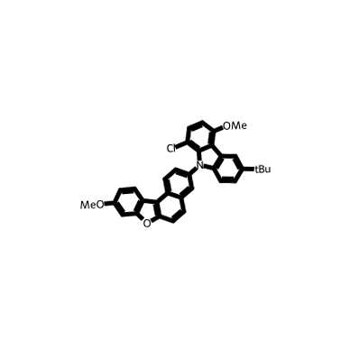 COc1ccc2c(c1)oc1ccc3cc(-n4c5ccc(C(C)(C)C)cc5c5c(OC)ccc(Cl)c54)ccc3c12